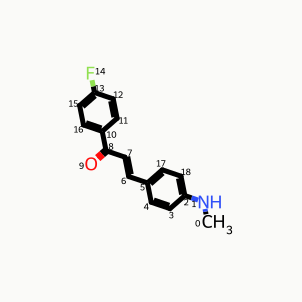 CNc1ccc(/C=C/C(=O)c2ccc(F)cc2)cc1